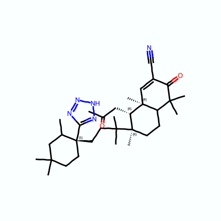 CC(=O)C[C@@H]1[C@@]2(C)C=C(C#N)C(=O)C(C)(C)C2CC[C@@]1(C)C(C)(C)CC[C@@]1(c2nn[nH]n2)CCC(C)(C)CC1C